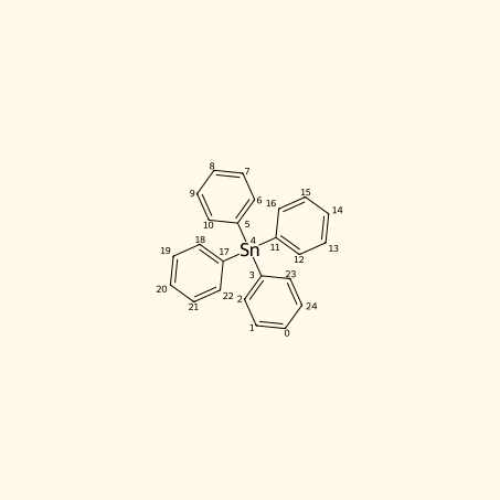 c1cc[c]([Sn]([c]2ccccc2)([c]2ccccc2)[c]2ccccc2)cc1